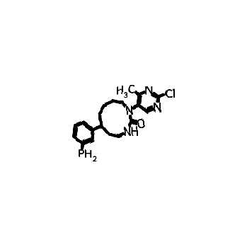 Cc1nc(Cl)ncc1N1CCCCC(c2cccc(P)c2)CCNC1=O